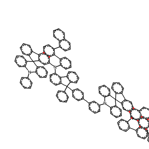 c1ccc(N2c3ccccc3C3(c4ccccc4-c4ccc(N(c5ccccc5-c5ccccc5-c5cccc6ccccc56)c5cccc6c5-c5ccccc5C6(c5ccccc5)c5ccc(-c6cccc(N7c8ccccc8C8(c9ccccc9-c9ccc(N(c%10ccc%11sc%12ccccc%12c%11c%10)c%10ccccc%10-c%10ccccc%10-c%10cccc%11ccccc%10%11)cc98)c8ccccc87)c6)cc5)cc43)c3ccccc32)cc1